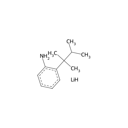 CC(C)C(C)(C)c1ccccc1N.[LiH]